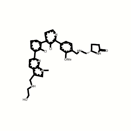 COc1cc(-c2nccc(-c3cccc(-c4ccc5c(CNCCO)cn(C)c5n4)c3Cl)c2Cl)ccc1CNC[C@@H]1CCC(=O)N1